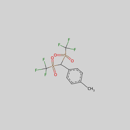 Cc1ccc(C(S(=O)(=O)C(F)(F)F)S(=O)(=O)C(F)(F)F)cc1